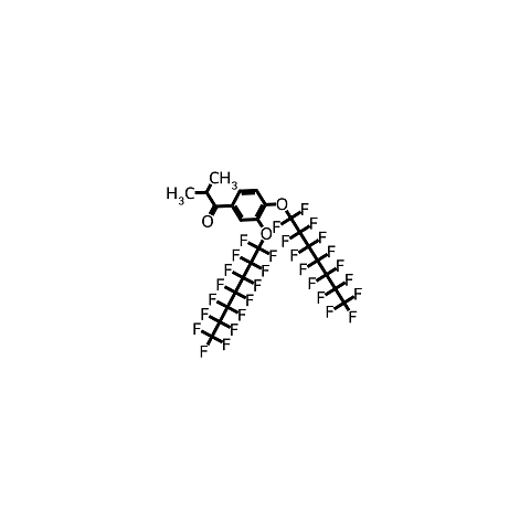 CC(C)C(=O)c1ccc(OC(F)(F)C(F)(F)C(F)(F)C(F)(F)C(F)(F)C(F)(F)C(F)(F)F)c(OC(F)(F)C(F)(F)C(F)(F)C(F)(F)C(F)(F)C(F)(F)C(F)(F)F)c1